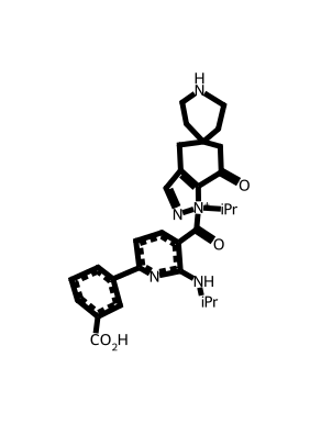 CC(C)Nc1nc(-c2cccc(C(=O)O)c2)ccc1C(=O)[N+]1(C(C)C)N=CC2=C1C(=O)CC1(CCNCC1)C2